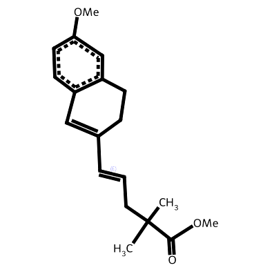 COC(=O)C(C)(C)C/C=C/C1=Cc2ccc(OC)cc2CC1